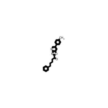 Cc1ccc(-c2cnc3nc(C(=O)CCCCc4ccccc4)oc3c2)cc1